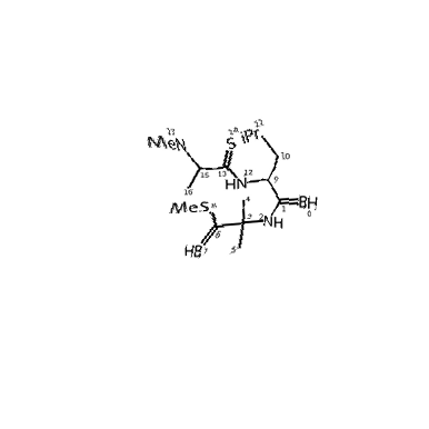 B=C(NC(C)(C)C(=B)SC)C(CC(C)C)NC(=S)C(C)NC